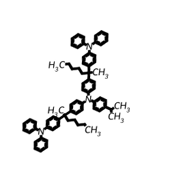 CCCCCC(C)(c1ccc(N(c2ccccc2)c2ccccc2)cc1)c1ccc(N(c2ccc(C(C)C)cc2)c2ccc(C(C)(CCCCC)c3ccc(N(c4ccccc4)c4ccccc4)cc3)cc2)cc1